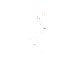 O=C(Nc1cccc(NO)c1)c1cccc(S(=O)(=O)N2CCCCC2)c1